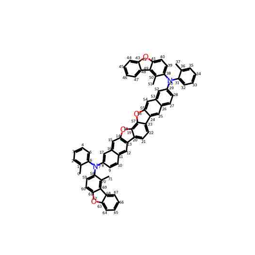 Cc1ccccc1N(c1ccc2cc3c(cc2c1)oc1c3ccc2c3cc4ccc(N(c5ccccc5C)c5ccc6oc7ccccc7c6c5C)cc4cc3oc21)c1ccc2oc3ccccc3c2c1C